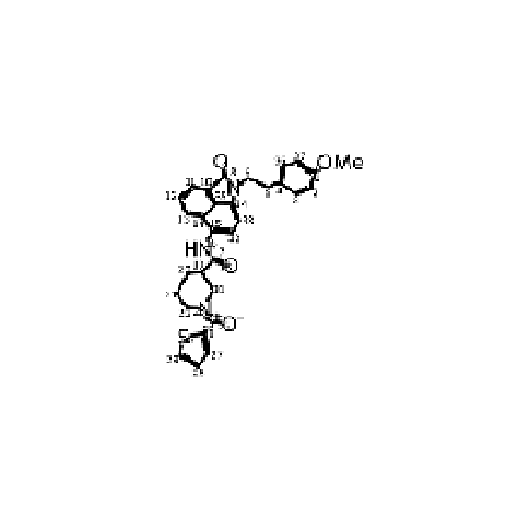 COc1ccc(CCN2C(=O)c3cccc4c(NC(=O)C5CCCN([S+]([O-])c6cccs6)C5)ccc2c34)cc1